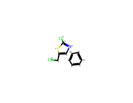 ClCc1cnc(Cl)s1.c1ccccc1